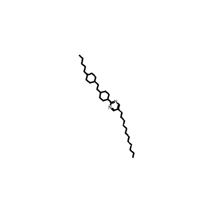 CCCCCCCCCCCCc1cnc(C2CCC(CCC3CCC(CCCCC)CC3)CC2)nc1